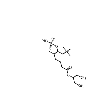 CC(CCCC(=O)OC(CO)CO)C(C[N+](C)(C)C)OP(=O)([O-])O